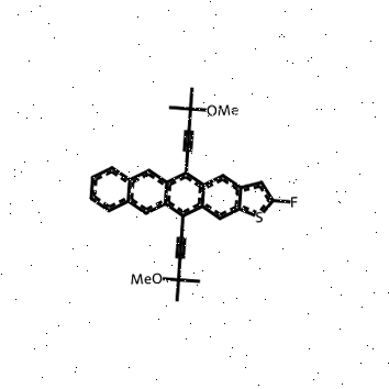 COC(C)(C)C#Cc1c2cc3ccccc3cc2c(C#CC(C)(C)OC)c2cc3sc(F)cc3cc12